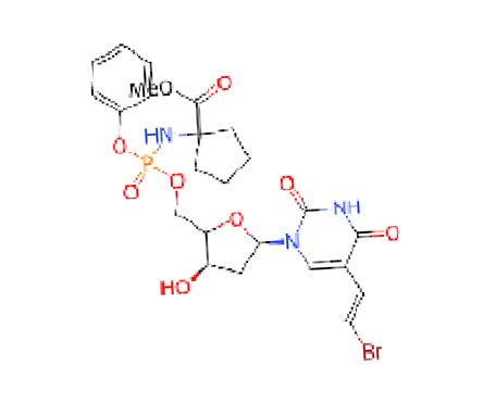 COC(=O)C1(NP(=O)(OCC2O[C@@H](n3cc(/C=C/Br)c(=O)[nH]c3=O)C[C@H]2O)Oc2ccccc2)CCCC1